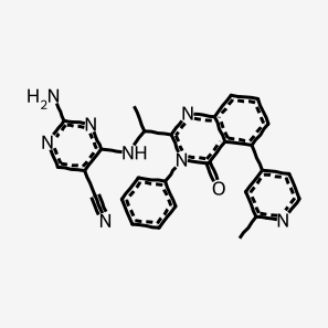 Cc1cc(-c2cccc3nc(C(C)Nc4nc(N)ncc4C#N)n(-c4ccccc4)c(=O)c23)ccn1